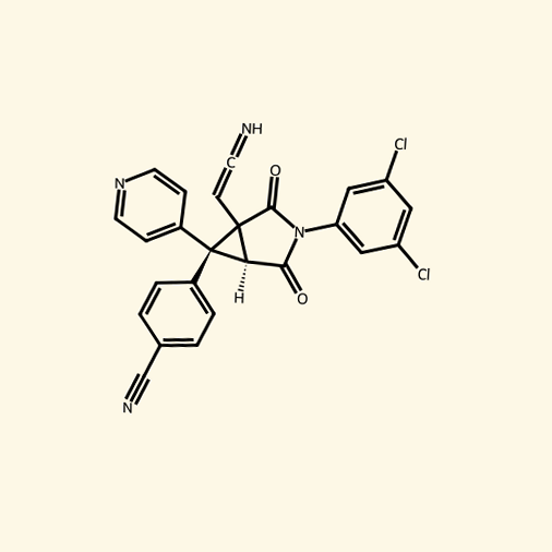 N#Cc1ccc([C@]2(c3ccncc3)[C@@H]3C(=O)N(c4cc(Cl)cc(Cl)c4)C(=O)C32C=C=N)cc1